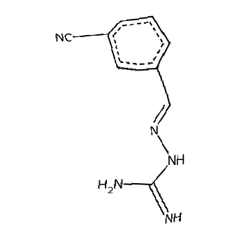 N#Cc1cccc(C=NNC(=N)N)c1